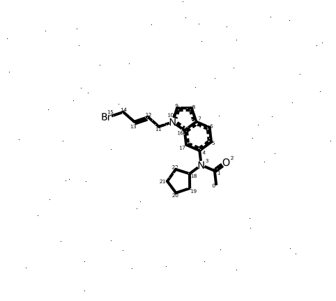 CC(=O)N(c1ccc2ccn(C/C=C/CBr)c2c1)C1CCCC1